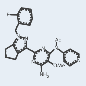 COc1c(N)nc(-c2nn(Cc3ccccc3F)c3c2CCC3)nc1N(C(C)=O)c1ccncc1